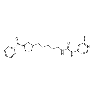 O=C(NCCCCCC1CCN(C(=O)c2ccccc2)C1)Nc1ccnc(F)c1